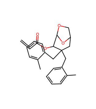 C=CC(=O)OC1C2OCC(CC1(Cc1ccccc1C)Cc1ccccc1C)O2